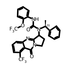 C[C@@H](c1ccccc1)N(C(=O)Nc1ccccc1OC(F)(F)F)C1CCn2c1nc1cccc(C(F)(F)F)c1c2=O